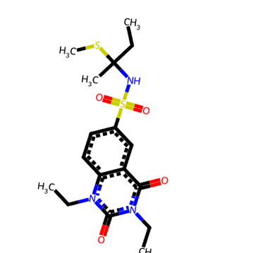 CCn1c(=O)c2cc(S(=O)(=O)NC(C)(CC)SC)ccc2n(CC)c1=O